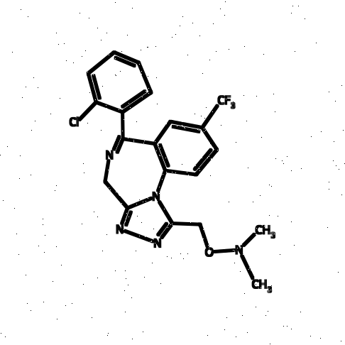 CN(C)OCc1nnc2n1-c1ccc(C(F)(F)F)cc1C(c1ccccc1Cl)=NC2